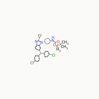 CC(C)(C)OC(=O)N[C@H]1CC[C@H](n2c(C3CC3)nc3ccc(C(c4ccc(Cl)cc4)c4ccc(Cl)cc4)cc32)CC1